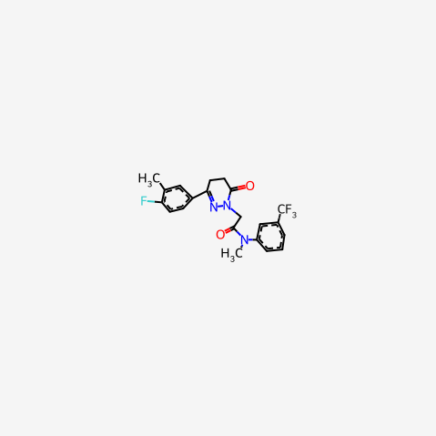 Cc1cc(C2=NN(CC(=O)N(C)c3cccc(C(F)(F)F)c3)C(=O)CC2)ccc1F